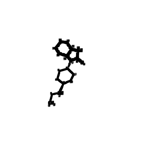 CCN[C@H]1CC[C@H](n2c(=O)[nH]c3ccccc32)CC1